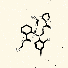 CCOC(=O)C1=CCCCC1S(=O)(=O)N(COC(=O)N1CCC[C@H]1C(=O)O)c1ccc(F)cc1Cl